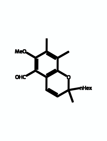 CCCCCCC1(C)C=Cc2c(C=O)c(OC)c(C)c(C)c2O1